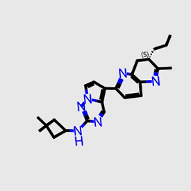 CCC[C@H]1Cc2nc(-c3ccn4nc(NC5CC(C)(C)C5)ncc34)ccc2N=C1C